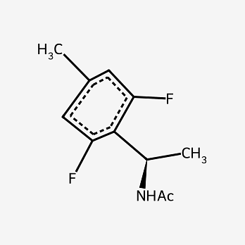 CC(=O)N[C@H](C)c1c(F)cc(C)cc1F